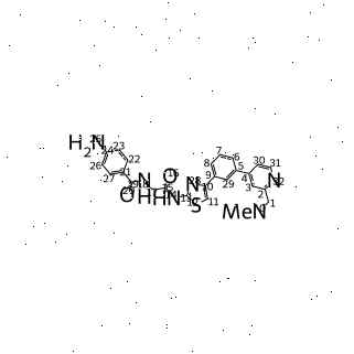 CNCc1cc(-c2cccc(-c3csc(NC(=O)CNC(=O)c4ccc(N)cc4)n3)c2)ccn1